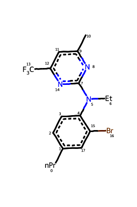 CCCc1ccc(N(CC)c2nc(C)cc(C(F)(F)F)n2)c(Br)c1